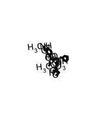 CNc1nc2ccc(S(=O)(=O)N(CC(C)C)C[C@@H](O)[C@H](Cc3ccccc3)NC(=O)O[C@H]3CO[C@H]4OCCC43)cc2o1